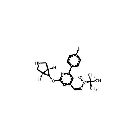 CC(C)(C)[S+]([O-])/N=C\c1cc(O[C@H]2[C@@H]3CNC[C@@H]32)nc(-c2ccc(F)cc2)c1